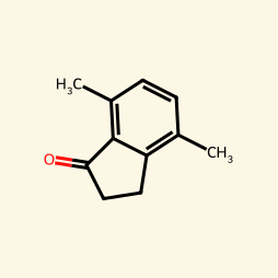 Cc1ccc(C)c2c1CCC2=O